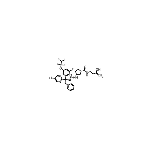 C=C(O)CCNC(=O)[C@H]1CC[C@@H](NC(=O)N[C@@](Cc2ccccc2)(c2cc(F)cc(OC(F)(F)C(F)F)c2)c2ccc(Cl)cn2)C1